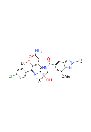 CCOc1c(CC(N)=O)cc([C@@](O)(CNC(=O)c2cc(OC)c3nn(C4CC4)cc3c2)C(F)(F)F)nc1-c1ccc(Cl)cc1